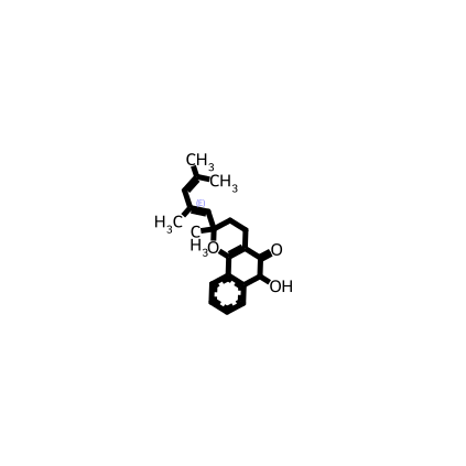 CC(C)=C/C(C)=C/C1(C)CCC2=C(O1)c1ccccc1C(O)C2=O